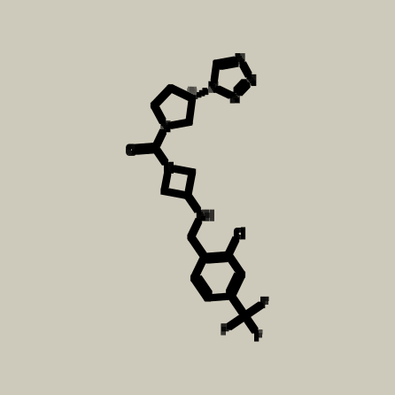 O=C(N1CC(NCc2ccc(C(F)(F)F)cc2Cl)C1)N1CC[C@H](n2cnnn2)C1